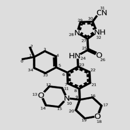 CC1(C)CC=C(c2cc(C3(N4CCOCC4)CCOCC3)ccc2NC(=O)c2ncc(C#N)[nH]2)CC1